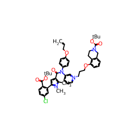 C=CCOc1ccc(N(C(=O)c2cc(-c3cc(Cl)ccc3C(=O)OC(C)(C)C)n(C)c2C)c2ccc[n+](CCCOc3cccc4c3CCN(C(=O)OC(C)(C)C)C4)c2)cc1